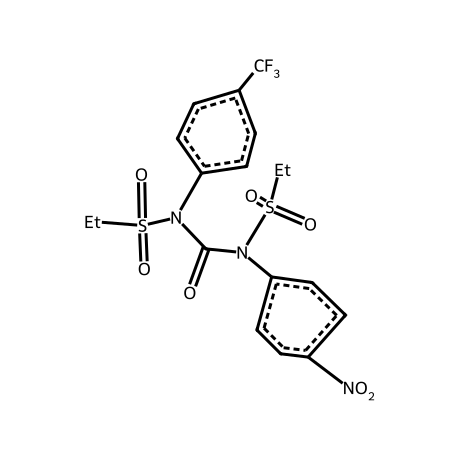 CCS(=O)(=O)N(C(=O)N(c1ccc(C(F)(F)F)cc1)S(=O)(=O)CC)c1ccc([N+](=O)[O-])cc1